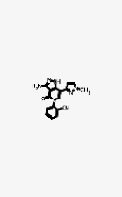 Cn1ccc(-c2cn(-c3ccccc3C#N)c(=O)c3c(N)n[nH]c23)n1